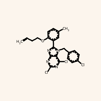 C=CCCOc1ccc(C)cc1-c1nc2nc(Cl)nc(Cl)c2n1Cc1ccc(Cl)cc1